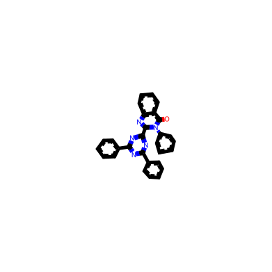 O=c1c2ccccc2nc(-c2nc(-c3ccccc3)nc(-c3ccccc3)n2)n1-c1ccccc1